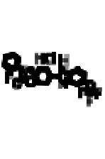 Cl.O=C1OC2(CCC(c3nc4cc(OC(F)(F)F)ccc4[nH]3)CC2)CN1c1ccccc1F